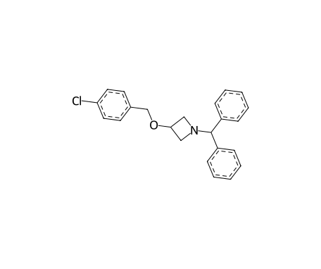 Clc1ccc(COC2CN(C(c3ccccc3)c3ccccc3)C2)cc1